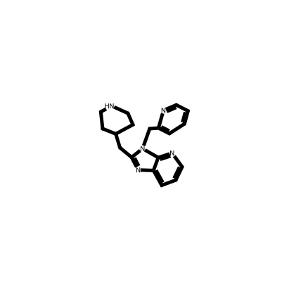 c1ccc(Cn2c(CC3CCNCC3)nc3cccnc32)nc1